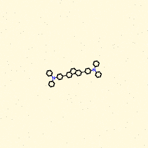 c1ccc(N(c2ccccc2)c2ccc(-c3ccc4c(ccc5cc(-c6ccc(N(c7ccccc7)c7ccccc7)cc6)ccc54)c3)cc2)cc1